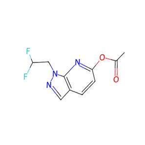 CC(=O)Oc1ccc2cnn(CC(F)F)c2n1